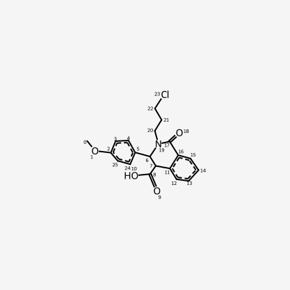 COc1ccc(C2C(C(=O)O)c3ccccc3C(=O)N2CCCCl)cc1